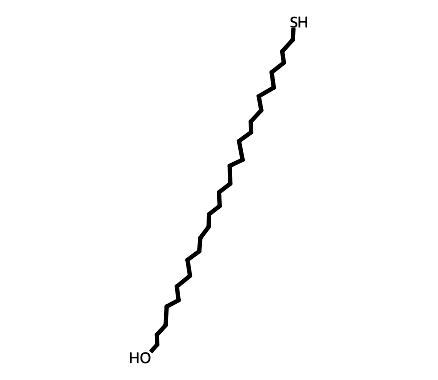 OCCCCCCCCCCCCCCCCCCCCCCCCCCCS